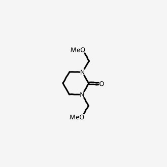 COCN1CCCN(COC)C1=O